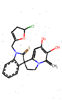 C=C1C(O)=C(O)C=C2N1CCC21C(=S)N(CC2=CCC(Cl)O2)c2ccccc21